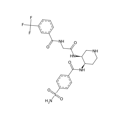 NS(=O)(=O)c1ccc(C(=O)N[C@@H]2CCNC[C@@H]2NC(=O)CNC(=O)c2cccc(C(F)(F)F)c2)cc1